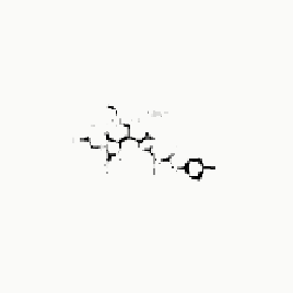 CCOC(=O)C(=C1SC(=S)N(CC(=O)[O-])C1=O)c1csc(NC(=O)Nc2ccc(F)cc2)n1.[Na+]